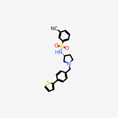 N#Cc1cccc(S(=O)(=O)N[C@@H]2CCN(Cc3ccc(-c4cccs4)cc3)C2)c1